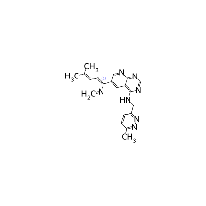 C=N/C(=C\C=C(C)C)c1cnc2ncnc(NCc3ccc(C)nn3)c2c1